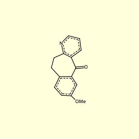 COc1ccc2c(c1)C(=O)c1cccnc1CC2